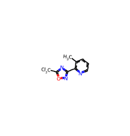 Cc1cccnc1-c1noc(C(Cl)(Cl)Cl)n1